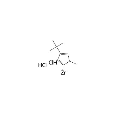 CC1C=C(C(C)(C)C)C=[C]1[Zr].Cl.Cl